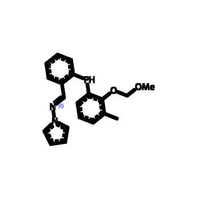 COCOc1c(C)cccc1Pc1ccccc1/C=N/n1cccc1